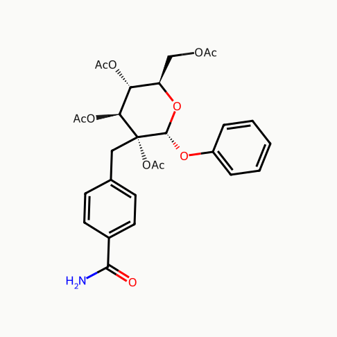 CC(=O)OC[C@H]1O[C@H](Oc2ccccc2)[C@](Cc2ccc(C(N)=O)cc2)(OC(C)=O)[C@@H](OC(C)=O)[C@@H]1OC(C)=O